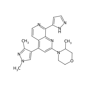 Cc1nn(C)cc1-c1cc(N2CCOCC2C)nc2c(-c3ccn[nH]3)nccc12